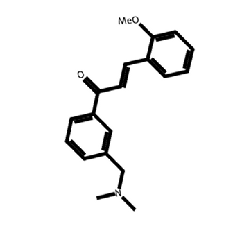 COc1ccccc1C=CC(=O)c1cccc(CN(C)C)c1